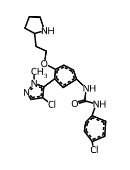 Cn1ncc(Cl)c1-c1cc(NC(=O)Nc2ccc(Cl)cc2)ccc1OCCC1CCCN1